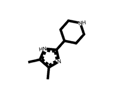 Cc1nc(C2CCNCC2)[nH]c1C